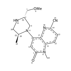 COC[C@@H]1CN(c2cc(=O)n(C)c3ccc(C#N)nc23)[C@@H](C)CN1